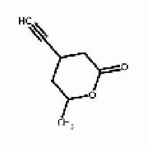 C#CC1CC(=O)OC(C)C1